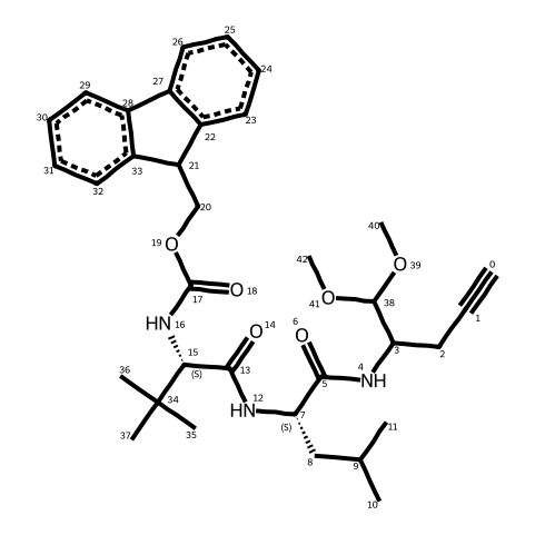 C#CCC(NC(=O)[C@H](CC(C)C)NC(=O)[C@@H](NC(=O)OCC1c2ccccc2-c2ccccc21)C(C)(C)C)C(OC)OC